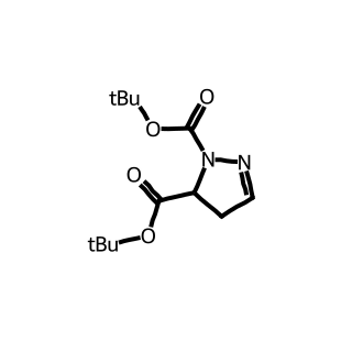 CC(C)(C)OC(=O)C1CC=NN1C(=O)OC(C)(C)C